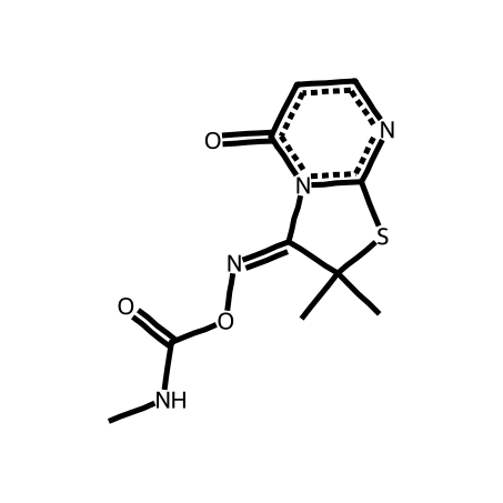 CNC(=O)ON=C1n2c(nccc2=O)SC1(C)C